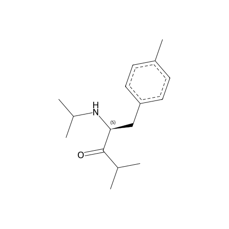 Cc1ccc(C[C@H](NC(C)C)C(=O)C(C)C)cc1